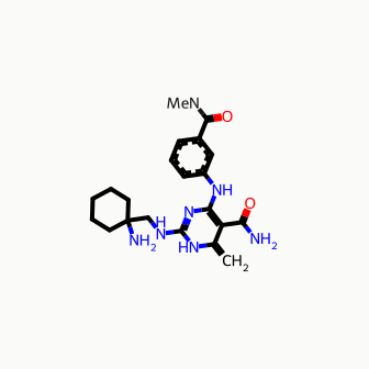 C=C1NC(NCC2(N)CCCCC2)=NC(Nc2cccc(C(=O)NC)c2)=C1C(N)=O